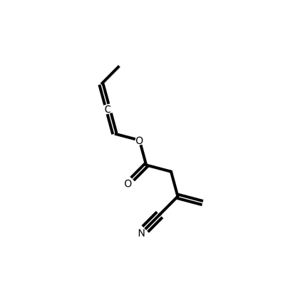 C=C(C#N)CC(=O)OC=C=CC